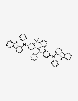 CC1(C)c2cc(N(c3ccccc3)c3cccc4c3sc3ccccc34)ccc2-c2c(-c3ccccc3)c3ccc(N(c4ccccc4)c4cccc5c4sc4ccccc45)cc3c3cccc1c23